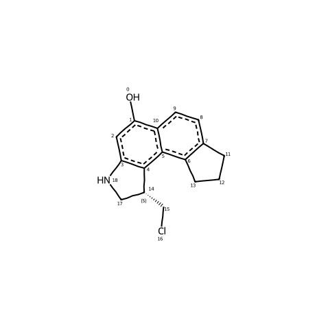 Oc1cc2c(c3c4c(ccc13)CCC4)[C@H](CCl)CN2